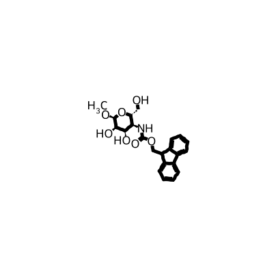 CO[C@H]1O[C@H](CO)[C@@H](NC(=O)OCC2c3ccccc3-c3ccccc32)[C@H](O)[C@H]1O